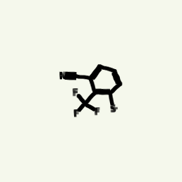 N#Cc1cccc([S])c1C(F)(F)F